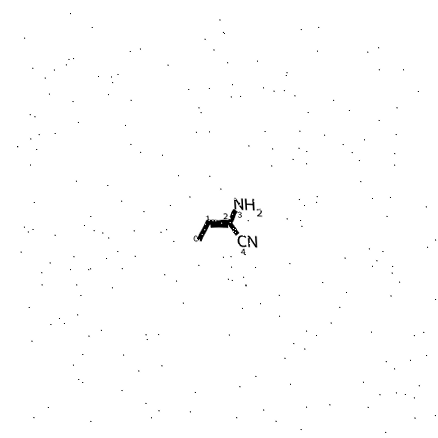 C/C=C(/N)C#N